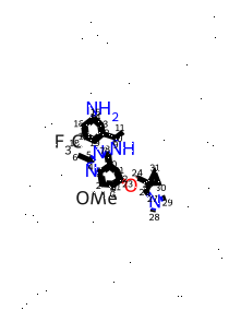 COc1cc2nc(C)nc(NC(C)c3cc(N)cc(C(F)(F)F)c3)c2cc1OCC1(CN(C)C)CC1